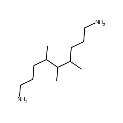 CC(CCCN)C(C)C(C)CCCN